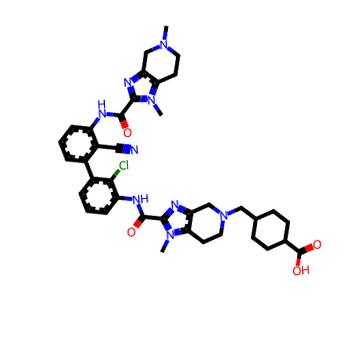 CN1CCc2c(nc(C(=O)Nc3cccc(-c4cccc(NC(=O)c5nc6c(n5C)CCN(CC5CCC(C(=O)O)CC5)C6)c4Cl)c3C#N)n2C)C1